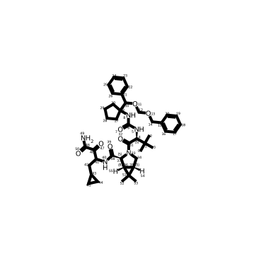 CC(C)(C)[C@H](NC(=O)NC1(C(OCOCc2ccccc2)c2ccccc2)CCCC1)C(=O)N1C[C@H]2[C@@H]([C@H]1C(=O)NC(CC1CC1)C(=O)C(N)=O)C2(C)C